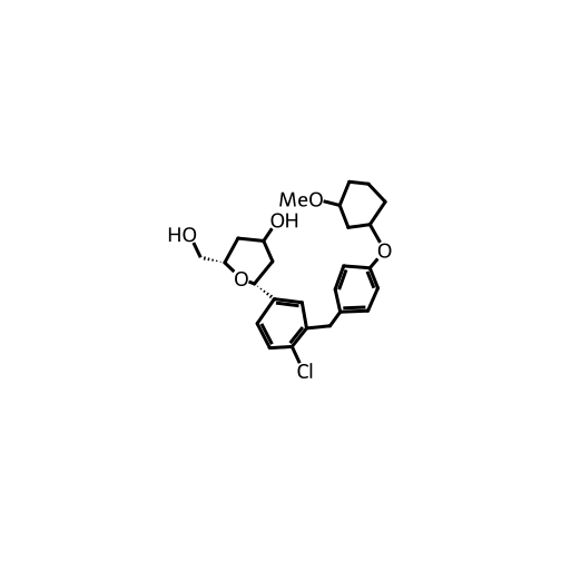 COC1CCCC(Oc2ccc(Cc3cc([C@H]4CC(O)C[C@@H](CO)O4)ccc3Cl)cc2)C1